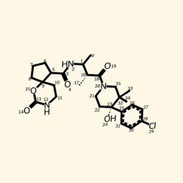 CC(NC(=O)C1CCCC12CCNC(=O)O2)[C@@H](C)C(=O)N1CC[C@](O)(c2ccc(Cl)cc2)C(C)(C)C1